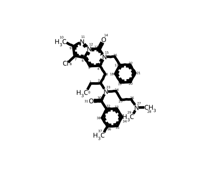 CCC(Cc1cc2c(Cl)c(C)nn2c(=O)n1Cc1ccccc1)N(CCCN(C)C)C(=O)c1cccc(C)c1